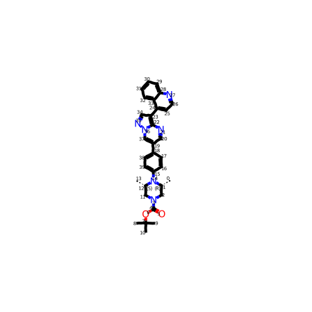 C[C@@H]1CN(C(=O)OC(C)(C)C)C[C@H](C)N1c1ccc(-c2cnc3c(-c4ccnc5ccccc45)cnn3c2)cc1